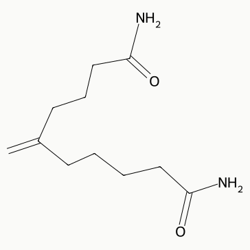 C=C(CCCCC(N)=O)CCCC(N)=O